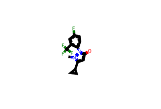 Cn1c(C2CC2)cc(=O)n1-c1ccc(F)cc1C(F)(F)F